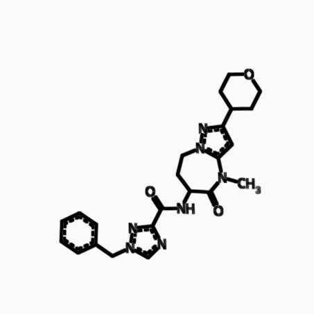 CN1C(=O)C(NC(=O)c2ncn(Cc3ccccc3)n2)CCn2nc(C3CCOCC3)cc21